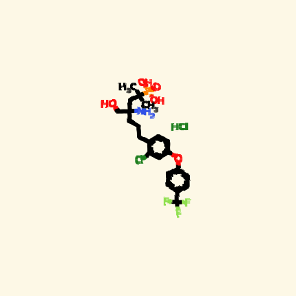 CC(C)(CC(N)(CO)CCCc1ccc(Oc2ccc(C(F)(F)F)cc2)cc1Cl)P(=O)(O)O.Cl